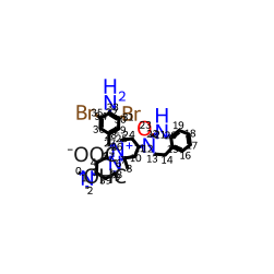 CN(C)C1CCN(C2(CC=O)CC(N3CCc4ccccc4NC3=O)CC[N@+]2(Cc2cc(Br)c(N)c(Br)c2)C(=O)[O-])CC1